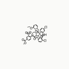 CCOC1=CC=CC(CN2[C@@H]3CCN(c4ccc(C(=O)OC)cc4[N+](=O)[O-])C(=O)[C@@H]3C(c3cccc(Cl)c3F)[C@@]23C(=O)Nc2cc(Cl)ccc23)C1